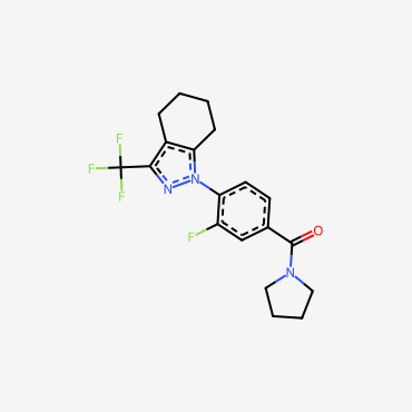 O=C(c1ccc(-n2nc(C(F)(F)F)c3c2CCCC3)c(F)c1)N1CCCC1